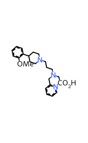 COc1ccccc1C1CCN(CCCN(CC(=O)O)Cc2ccccn2)CC1